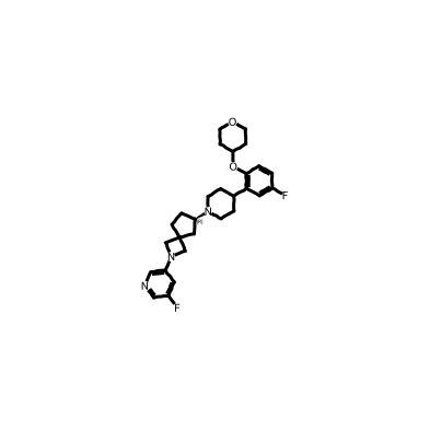 Fc1cncc(N2CC3(CC[C@@H](N4CCC(c5cc(F)ccc5OC5CCOCC5)CC4)C3)C2)c1